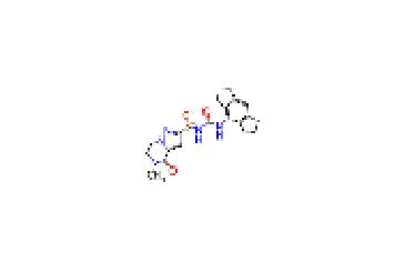 CN1CCn2nc([S+]([O-])NC(=O)Nc3c4c(cc5c3CCC5)CCC4)cc2C1=O